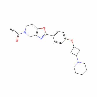 CC(=O)N1CCc2oc(-c3ccc(OC4CC(N5CCCCC5)C4)cc3)nc2C1